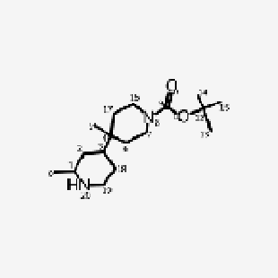 CC1CC(C2(C)CCN(C(=O)OC(C)(C)C)CC2)CCN1